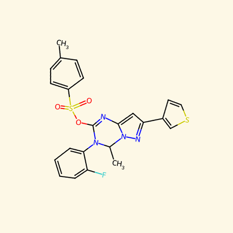 Cc1ccc(S(=O)(=O)OC2=Nc3cc(-c4ccsc4)nn3C(C)N2c2ccccc2F)cc1